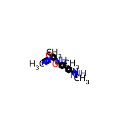 COc1ccc(NC(=O)c2ccc(-c3ccc(-c4n[nH]c(C)n4)cc3)c(C)c2)cc1N1CCN(C)CC1